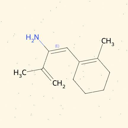 C=C(C)/C(N)=C\C1=C(C)CCCC1